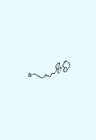 O=C(CCCCCCBr)OC1CCCCO1